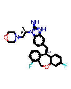 C[C@H](CN1CCOCC1)n1c(=N)[nH]c2cc(/C=C3\c4cccc(F)c4COC4C=C(F)C=CC34)ccc21